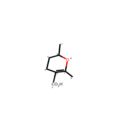 CC1=C(C(=O)O)CCC(C)O1